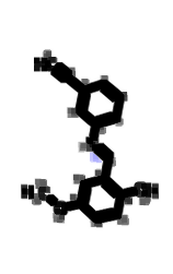 C#Cc1cccc(/N=C/c2cc(OC)ccc2O)c1